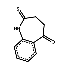 O=C1CCC(=S)Nc2ccccc21